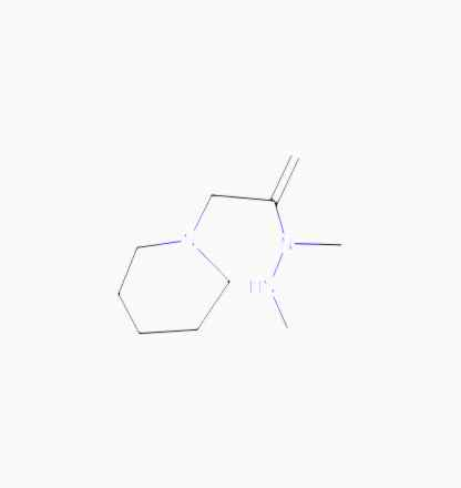 C=C(CN1CCCCC1)N(C)NC